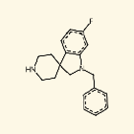 Fc1ccc2c(c1)N(Cc1ccccc1)CC21CCNCC1